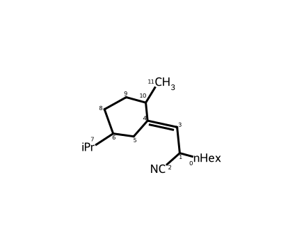 CCCCCCC(C#N)C=C1CC(C(C)C)CCC1C